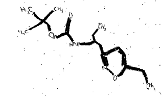 CCc1cc(C(C)NC(=O)OC(C)(C)C)no1